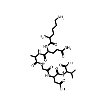 CC(NC(=O)C(CCC(N)=O)NC(=O)C(N)CCCCN)C(=O)NCC(=O)NC(CC(=O)O)C(=O)NC(C(=O)O)C(C)C